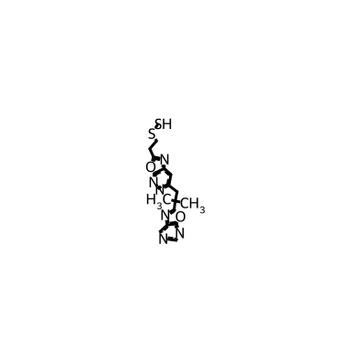 CC(C)(Cc1cc2nc(CCSS)oc2nn1)c1nc2cncnc2o1